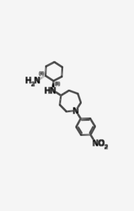 N[C@@H]1CCCC[C@H]1NC1CCCN(c2ccc([N+](=O)[O-])cc2)CC1